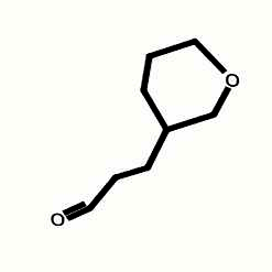 O=CCCC1CCCOC1